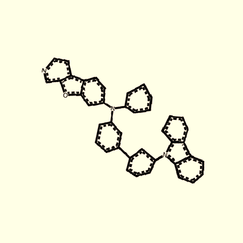 c1ccc(N(c2cccc(-c3cccc(-n4c5ccccc5c5ccccc54)c3)c2)c2ccc3c(c2)oc2cnccc23)cc1